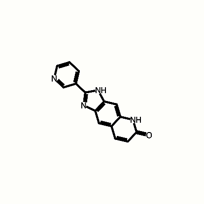 O=c1ccc2cc3nc(-c4cccnc4)[nH]c3cc2[nH]1